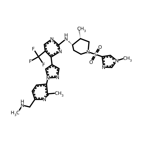 CNCc1ccc(-n2cc(-c3nc(N[C@H]4CCN(S(=O)(=O)c5cn(C)cn5)C[C@H]4C)ncc3C(F)(F)F)cn2)c(C)n1